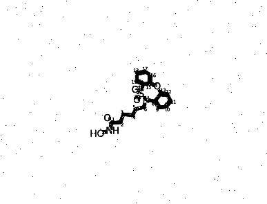 O=C(CCCCCN1c2ccccc2Oc2ccccc2S1(=O)=O)NO